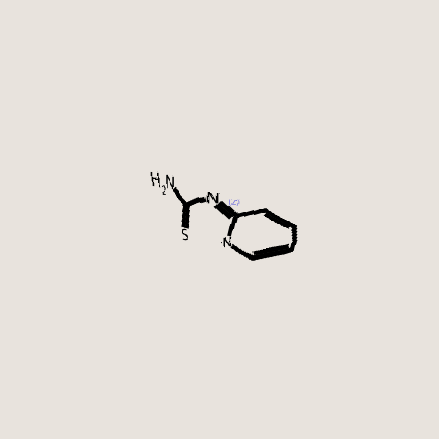 NC(=S)/N=C1/C=CC=C[N]1